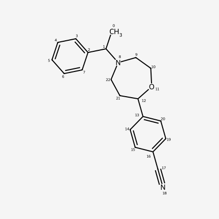 CC(c1ccccc1)N1CCOC(c2ccc(C#N)cc2)CC1